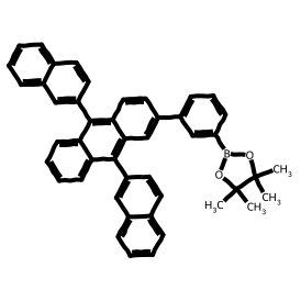 CC1(C)OB(c2cccc(-c3ccc4c(-c5ccc6ccccc6c5)c5ccccc5c(-c5ccc6ccccc6c5)c4c3)c2)OC1(C)C